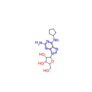 Nc1nc(NC2CCCC2)c2ncn(C3OC(CO)C(O)C3O)c2n1